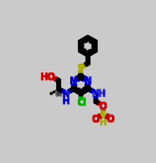 C[C@H](CO)Nc1nc(SCc2ccccc2)nc(NCO[SH](=O)=O)c1Cl